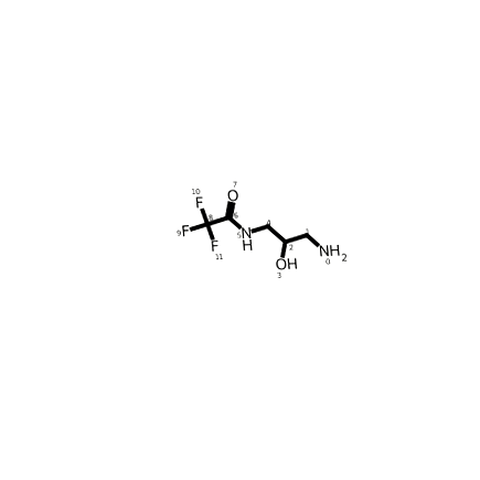 NCC(O)CNC(=O)C(F)(F)F